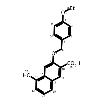 CCOc1ccc(COc2cc3c(O)cccc3cc2C(=O)O)cc1